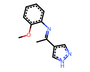 COc1ccccc1/N=C(\C)c1cn[nH]c1